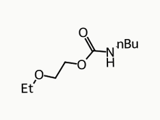 [CH2]COCCOC(=O)NCCCC